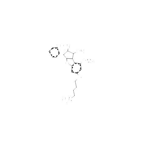 COc1cc(OCCCCN)cc2c1C1C(O)C(C(=O)O)[C@@H](c3ccccc3)C1O2